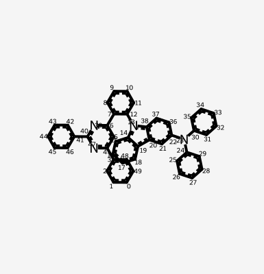 c1ccc(-c2cc(-c3ccccc3-n3c4ccccc4c4cc(N(c5ccccc5)c5ccccc5)ccc43)nc(-c3ccccc3)n2)cc1